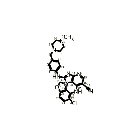 CN1CCN(Cc2ccc(Nc3nc4ncc(C#N)c(Nc5c(Cl)ccc6c5OCO6)c4s3)cc2)CC1